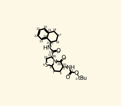 CC(C)(C)OC(=O)N[C@H]1CCC2SC[C@@H](C(=O)N[C@@H]3CCCc4ccccc43)N2C1=O